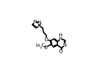 COc1cc2c(=O)nc[nH]c2cc1OCCCn1ccnn1